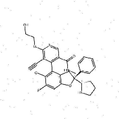 C#Cc1c(OCCO)ncc(C(=O)NC)c1-c1c(Cl)c(F)cc2c1C[C@](c1ccccc1)([C@@H]1CCCN1)O2